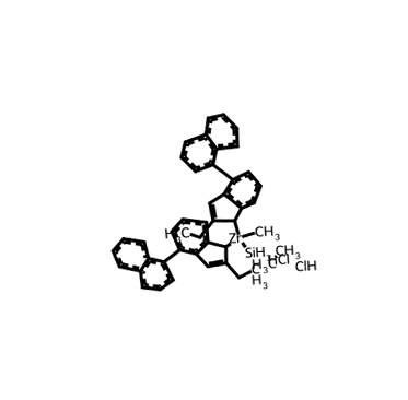 CC.CCC1=Cc2c(-c3cccc4ccccc34)cccc2[CH]1[Zr]([CH3])([SiH3])[CH]1C(CC)=Cc2c(-c3cccc4ccccc34)cccc21.Cl.Cl